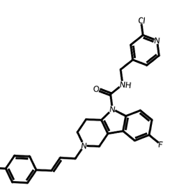 O=C(NCc1ccnc(Cl)c1)n1c2c(c3cc(F)ccc31)CN(CC=Cc1ccc(Cl)cc1)CC2